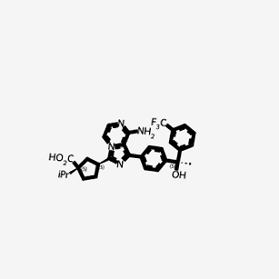 CC(C)[C@]1(C(=O)O)CC[C@H](c2nc(-c3ccc([C@](C)(O)c4cccc(C(F)(F)F)c4)cc3)c3c(N)nccn23)C1